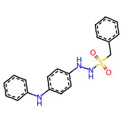 O=S(=O)(Cc1ccccc1)NNc1ccc(Nc2ccccc2)cc1